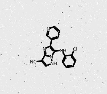 N#Cc1c[nH]n2c(Nc3ccccc3Cl)c(-c3cccnc3)nc12